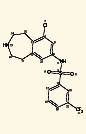 O=S(=O)(Nc1cc(Cl)c2c(c1)CCNCC2)c1cccc(C(F)(F)F)c1